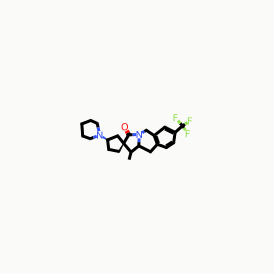 CC1C2Cc3ccc(C(F)(F)F)cc3CN2C(=O)[C@]12CC[C@@H](N1CCCCC1)C2